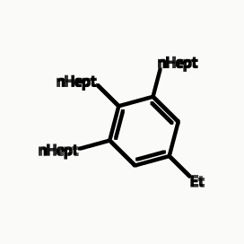 [CH2]Cc1cc(CCCCCCC)c(CCCCCCC)c(CCCCCCC)c1